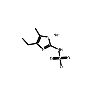 CCc1nc(NS(=O)(=O)[O-])sc1C.[Na+]